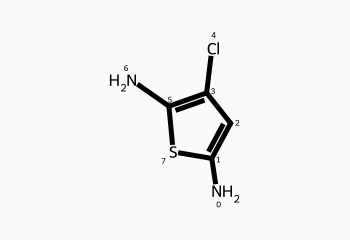 Nc1cc(Cl)c(N)s1